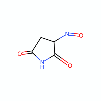 O=NC1CC(=O)NC1=O